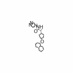 CC(C(=O)Nn1cnnc1)c1ccc(Oc2cccc3ccccc23)cc1